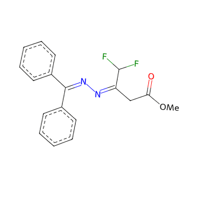 COC(=O)C/C(=N/N=C(c1ccccc1)c1ccccc1)C(F)F